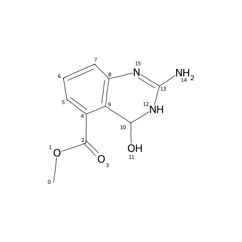 COC(=O)c1cccc2c1C(O)NC(N)=N2